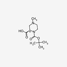 CN1CCN(C(=O)OC(C)(C)C)[C@@H](C(=O)O)C1